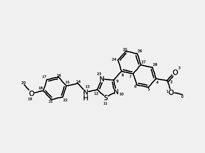 COC(=O)c1ccc2c(-c3nsc(NCc4ccc(OC)cc4)n3)cccc2c1